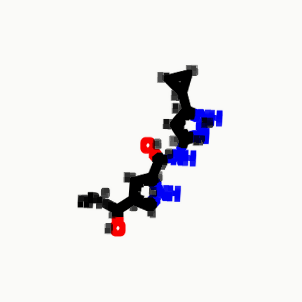 CCCC(=O)c1c[nH]c(C(=O)Nc2cc(C3CC3)[nH]n2)c1